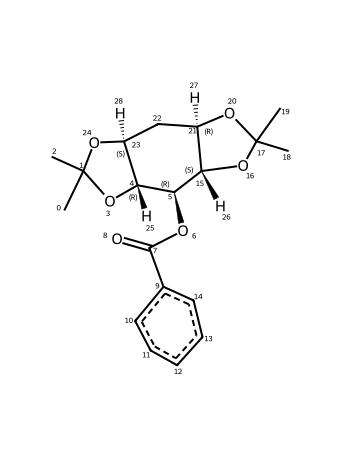 CC1(C)O[C@H]2[C@H](OC(=O)c3ccccc3)[C@H]3OC(C)(C)O[C@@H]3C[C@@H]2O1